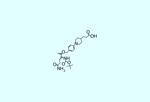 C[C@@H](OCc1ccc(N2CCC(CCC(=O)O)CC2)cc1)[C@H](CCC(N)=O)NC(=O)OC(C)(C)C